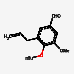 C=CCc1cc(C=O)cc(OC)c1OCCCC